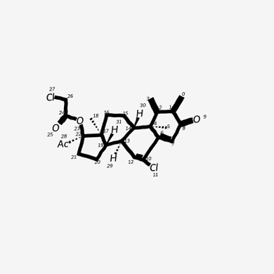 C=C1C(=C)[C@@]2(C)C(=CC1=O)C(Cl)=C[C@@H]1[C@@H]2CC[C@@]2(C)[C@H]1CC[C@]2(OC(=O)CCl)C(C)=O